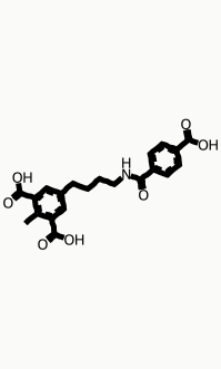 Cc1c(C(=O)O)cc(CCCCNC(=O)c2ccc(C(=O)O)cc2)cc1C(=O)O